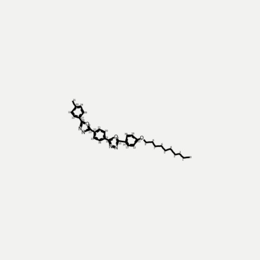 CCCCCCCCCCOc1ccc(-c2nnc(-c3ccc(-c4nnc(-c5ccc(C)cc5)o4)cc3)o2)cc1